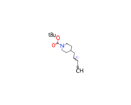 C#C/C=C/CC1CCN(C(=O)OC(C)(C)C)CC1